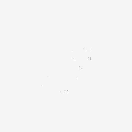 COC(=O)c1c(C)ccc(C)c1-n1nn[nH]c1=O